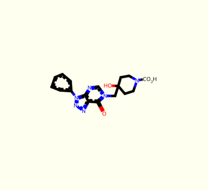 O=C(O)N1CCC(O)(Cn2cnc3c(nnn3-c3ccccc3)c2=O)CC1